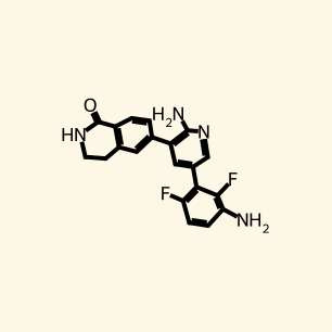 Nc1ccc(F)c(-c2cnc(N)c(-c3ccc4c(c3)CCNC4=O)c2)c1F